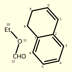 C1=Cc2ccccc2CC1.CCOC=O